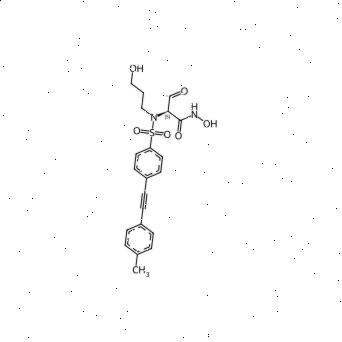 Cc1ccc(C#Cc2ccc(S(=O)(=O)N(CCCO)[C@@H]([C]=O)C(=O)NO)cc2)cc1